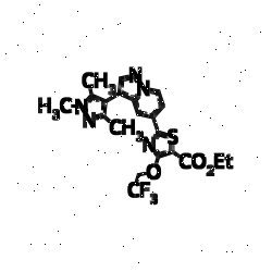 CCOC(=O)c1sc(-c2ccn3ncc(-c4c(C)nn(C)c4C)c3c2)nc1OCC(F)(F)F